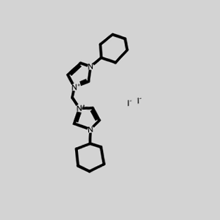 [I-].[I-].c1c[n+](C[n+]2ccn(C3CCCCC3)c2)cn1C1CCCCC1